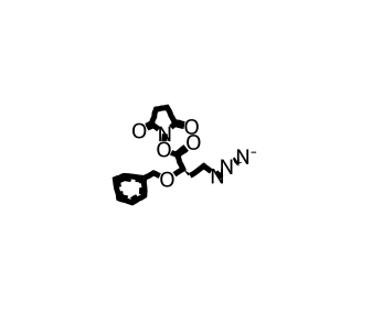 [N-]=[N+]=NCC[C@H](OCc1ccccc1)C(=O)ON1C(=O)CCC1=O